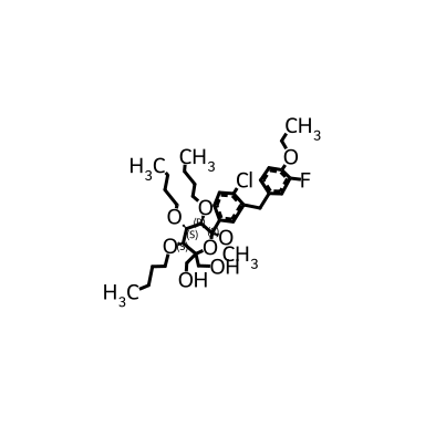 CCCCO[C@@H]1[C@@H](OCCCC)[C@](OC)(c2ccc(Cl)c(Cc3ccc(OCC)c(F)c3)c2)OC(CO)(CO)[C@H]1OCCCC